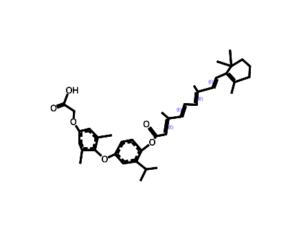 CC1=C(/C=C/C(C)=C/C=C/C(C)=C/C(=O)Oc2ccc(Oc3c(C)cc(OCC(=O)O)cc3C)cc2C(C)C)C(C)(C)CCC1